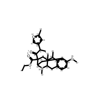 CCOC(=O)C1(C(=O)C(C)c2coc(C)c2)CC2(C)C(C)c3c4ccc(OC)c3CC1N(C)C2C4